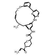 C=CC(=O)N1CCC(CC(=O)Nc2cc3cc(c2)Nc2nccc(n2)-c2cccc(c2)OCC/C=C/CN(C)C3)CC1